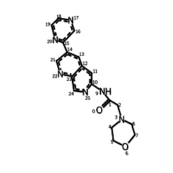 O=C(CN1CCOCC1)Nc1cc2cc(-c3cnccn3)cnc2cn1